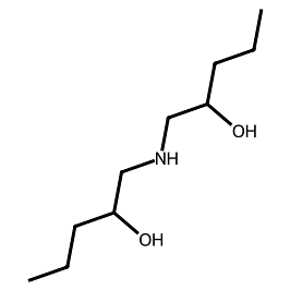 CCCC(O)CNCC(O)CCC